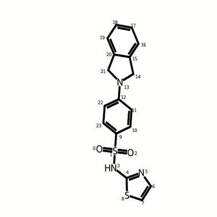 O=S(=O)(Nc1nccs1)c1ccc(N2Cc3ccccc3C2)cc1